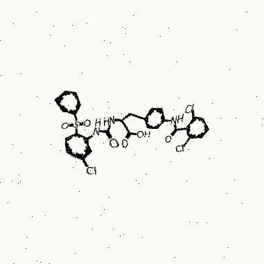 O=C(Nc1cc(Cl)ccc1S(=O)(=O)c1ccccc1)N[C@@H](Cc1ccc(NC(=O)c2c(Cl)cccc2Cl)cc1)C(=O)O